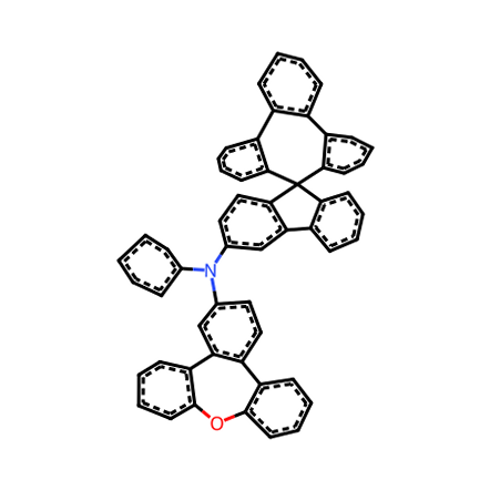 c1ccc(N(c2ccc3c(c2)-c2ccccc2Oc2ccccc2-3)c2ccc3c(c2)-c2ccccc2C32c3ccccc3-c3ccccc3-c3ccccc32)cc1